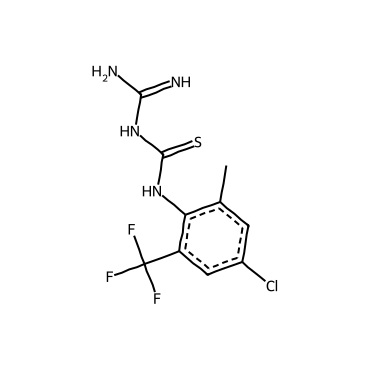 Cc1cc(Cl)cc(C(F)(F)F)c1NC(=S)NC(=N)N